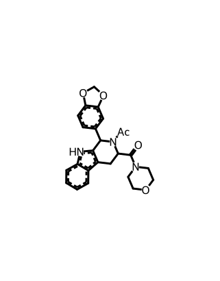 CC(=O)N1C(C(=O)N2CCOCC2)Cc2c([nH]c3ccccc23)C1c1ccc2c(c1)OCO2